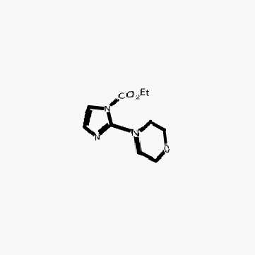 CCOC(=O)n1ccnc1N1CCOCC1